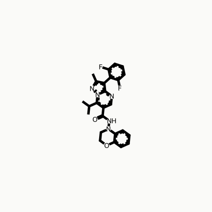 Cc1nn2c(C(C)C)c(C(=O)NN3CCOc4ccccc43)cnc2c1-c1c(F)cccc1F